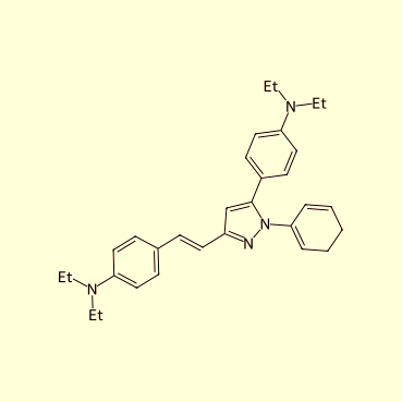 CCN(CC)c1ccc(C=Cc2cc(-c3ccc(N(CC)CC)cc3)n(C3=CCCC=C3)n2)cc1